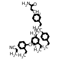 C=CC#N.C=CC(N)=O.C=Cc1ccc(C)cc1.C=Cc1cccc(C)c1.C=Cc1ccccc1.C=Cc1ccccc1C